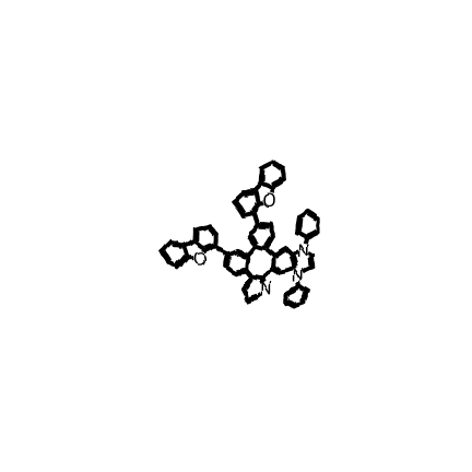 c1ccc(-n2ccn(-c3ccccc3)c3cc4c(cc32)c2ccc(-c3cccc5c3oc3ccccc35)cc2c2cc(-c3cccc5c3oc3ccccc35)ccc2c2cccnc24)cc1